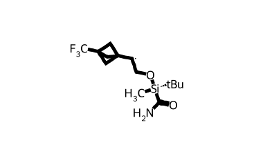 CC(C)(C)[Si@](C)(OC[CH]C12CC(C(F)(F)F)(C1)C2)C(N)=O